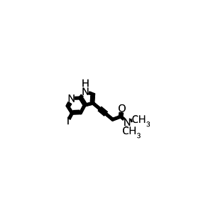 CN(C)C(=O)CC#Cc1c[nH]c2ncc(I)cc12